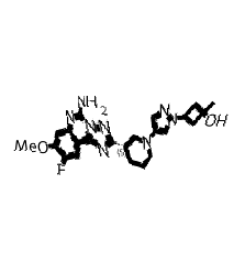 COc1cc2nc(N)n3nc([C@H]4CCCN(c5cnn(C6CC(C)(O)C6)c5)C4)nc3c2cc1F